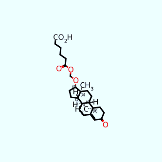 C[C@]12CC[C@H]3[C@@H](CCC4=CC(=O)CC[C@@]43C)[C@@H]1CC[C@@H]2OCOC(=O)CCCCC(=O)O